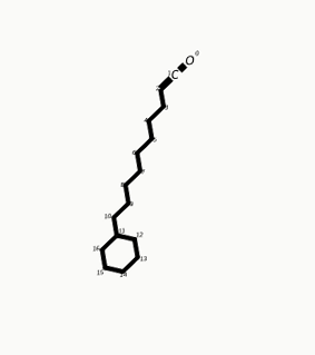 O=C=CCCCCCCCCC1CCCCC1